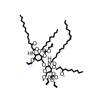 C=CCOC(=O)O[C@@H]1C(COC2OC(COC)[C@@H](OP(=O)(OCC=C)OCC=C)C(OCCC(CCCCCCC)OC)[C@H]2NC(=O)CCCCCCCCC/C=C\CCCCCC)C[C@H](O/C=C\C)[C@H](NC(=O)CC(=O)CCCCCCCCCCC)C1OCCCCCCCCCC